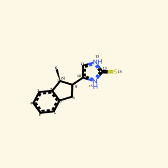 C[C@@H]1c2ccccc2CC1c1c[nH]c(=S)[nH]1